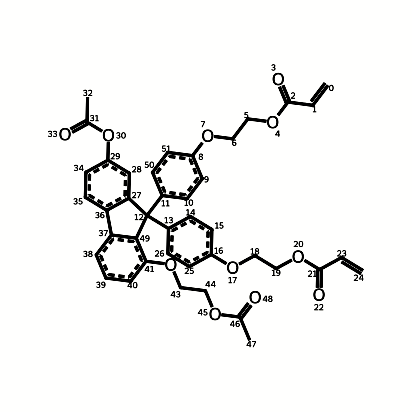 C=CC(=O)OCCOc1ccc(C2(c3ccc(OCCOC(=O)C=C)cc3)c3cc(OC(C)=O)ccc3-c3cccc(OCCOC(C)=O)c32)cc1